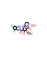 CCCCOc1c2n(cc(C(=O)NCc3c(F)cc(F)cc3F)c1=O)[C@H]1CC=C[C@H](CO)N(C1)C2=O